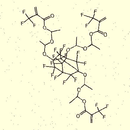 C=C(C(=O)OC(C)OC(C)OC12C(F)(F)C3(F)C(F)(F)C(OC(C)OC(C)OC(=O)C(=C)C(F)(F)F)(C1(F)F)C(F)(F)C(OC(C)OC(C)OC(=O)C(=C)C(F)(F)F)(C3(F)F)C2(F)F)C(F)(F)F